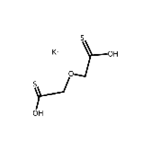 OC(=S)COCC(O)=S.[K]